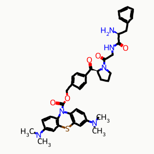 CN(C)c1ccc2c(c1)Sc1cc(N(C)C)ccc1N2C(=O)OCc1ccc(C(=O)[C@@H]2CCCN2C(=O)CNC(=O)[C@@H](N)Cc2ccccc2)cc1